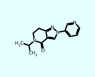 CC(C)N1CCc2nn(-c3cccnc3)cc2C1=O